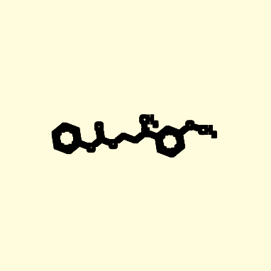 COc1cccc(N(C)CCOC(=O)Oc2ccccc2)c1